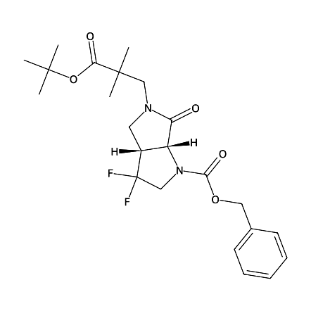 CC(C)(C)OC(=O)C(C)(C)CN1C[C@@H]2[C@H](C1=O)N(C(=O)OCc1ccccc1)CC2(F)F